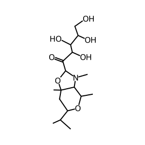 CC(C)C1CC2(C)OC(C(=O)C(O)C(O)C(O)CO)N(C)C2C(C)O1